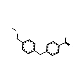 O=C(Cl)c1ccc(Cc2ccc(COCl)cc2)cc1